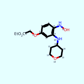 CCOC(=O)COc1ccc(NO)c(NC2CCOCC2)c1